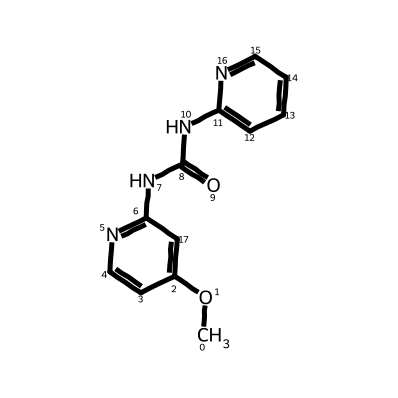 COc1ccnc(NC(=O)Nc2ccccn2)c1